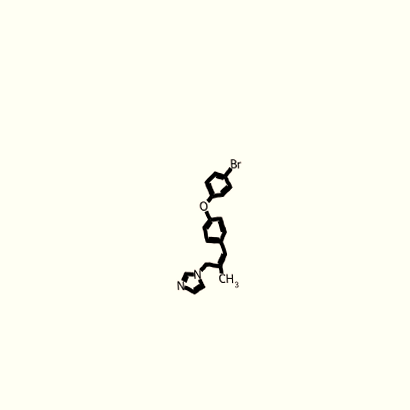 CC(=Cc1ccc(Oc2ccc(Br)cc2)cc1)Cn1ccnc1